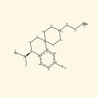 CC(=O)N(C)[C@H]1CCC2(CCN(CCC(C)(C)C)CC2)c2cc(F)ccc21